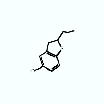 CCC1Cc2cc(Cl)ccc2S1